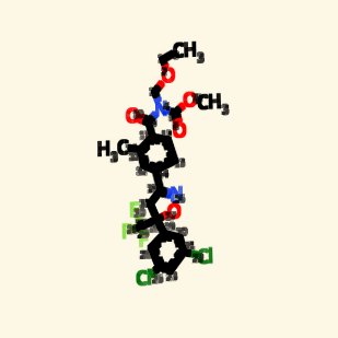 CCOCN(C(=O)OC)C(=O)c1ccc(C2=NOC(c3cc(Cl)cc(Cl)c3)(C(F)(F)F)C2)cc1C